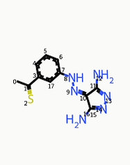 CC(=S)c1cccc(NN=C2C(N)=NN=C2N)c1